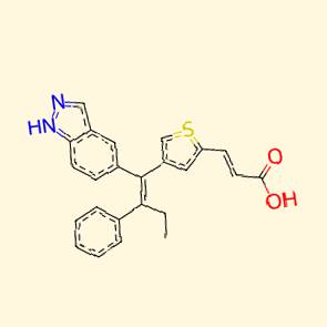 CCC(=C(c1csc(C=CC(=O)O)c1)c1ccc2[nH]ncc2c1)c1ccccc1